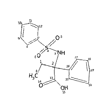 CCC(NS(=O)(=O)c1ccccc1)(C(=O)O)c1ccccc1